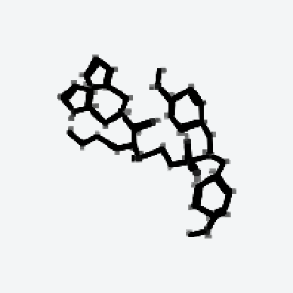 CCCCC(NCCS(=O)(=O)N(Cc1ccc(OC)cc1)Cc1ccc(OC)cc1)C(=O)N(Cc1cccs1)Cc1cccs1